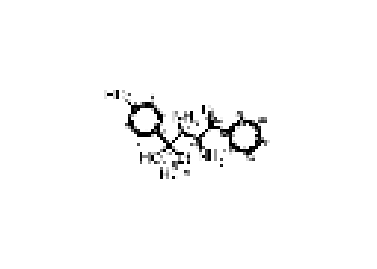 CCC(O)(c1ccc(O)cc1)C(N)C(N)C(=O)c1ccccc1.Cl